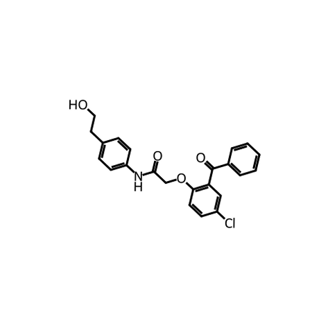 O=C(COc1ccc(Cl)cc1C(=O)c1ccccc1)Nc1ccc(CCO)cc1